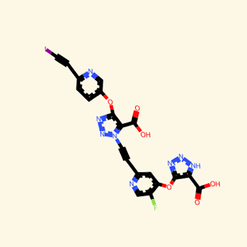 O=C(O)c1[nH]nnc1Oc1cc(C#Cn2nnc(Oc3ccc(C#CI)nc3)c2C(=O)O)ncc1F